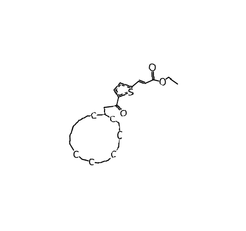 CCOC(=O)C=Cc1ccc(C(=O)CC2CCCCCCCCCCCCCCCC2)s1